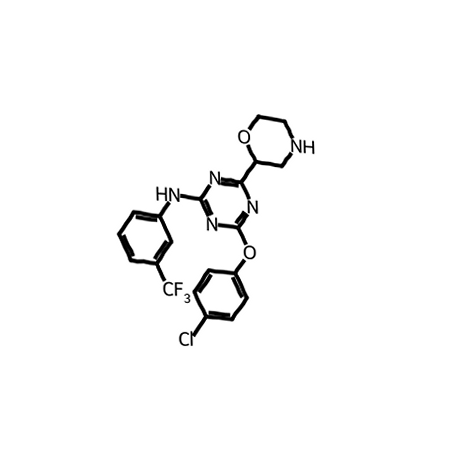 FC(F)(F)c1cccc(Nc2nc(Oc3ccc(Cl)cc3)nc(C3CNCCO3)n2)c1